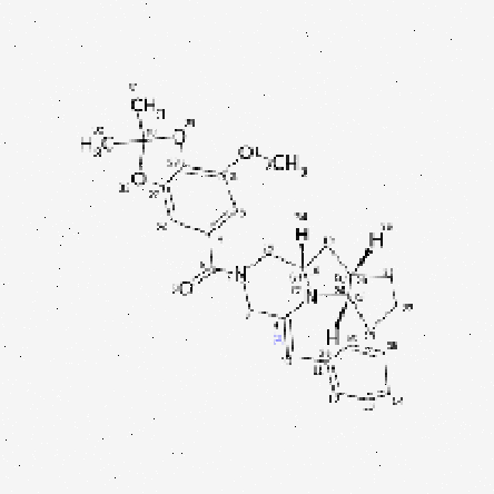 COc1cc(C(=O)N2C/C(=C/c3ccccc3)N3[C@@H](C[C@@H]4CCC[C@@H]43)C2)cc2c1OC(C)(C)O2